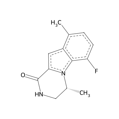 Cc1ccc(F)c2c1cc1n2[C@H](C)CNC1=O